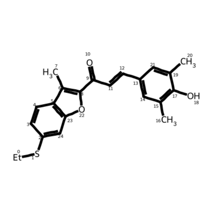 CCSc1ccc2c(C)c(C(=O)/C=C/c3cc(C)c(O)c(C)c3)oc2c1